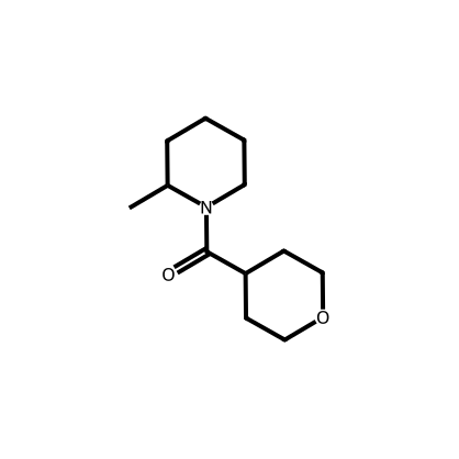 CC1CCCCN1C(=O)C1CCOCC1